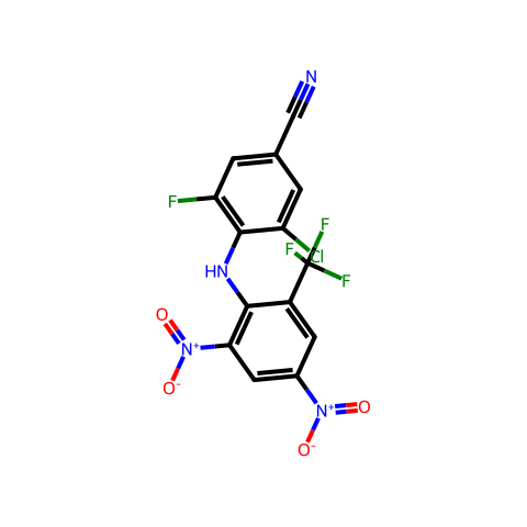 N#Cc1cc(F)c(Nc2c([N+](=O)[O-])cc([N+](=O)[O-])cc2C(F)(F)F)c(Cl)c1